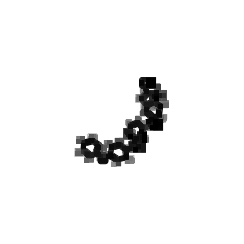 Cc1cc2cc(Nc3ccnc(Nc4ccc(Oc5ccccc5)cc4)n3)ccc2[nH]1